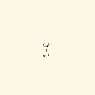 [Cu+2].[F-].[F-].[P]